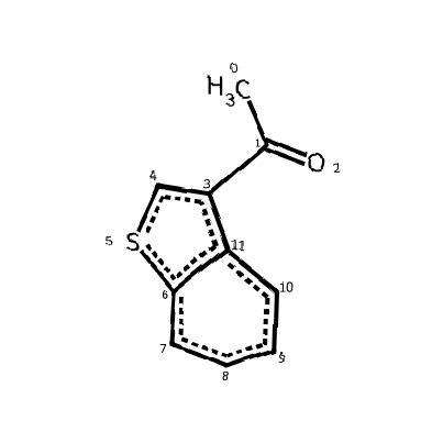 CC(=O)c1csc2cc[c]cc12